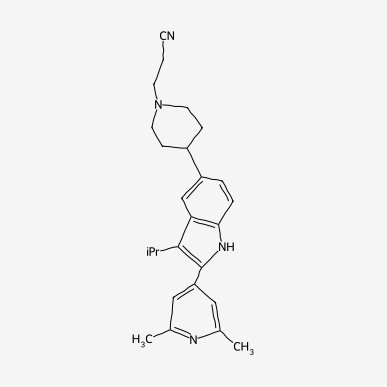 Cc1cc(-c2[nH]c3ccc(C4CCN(CCC#N)CC4)cc3c2C(C)C)cc(C)n1